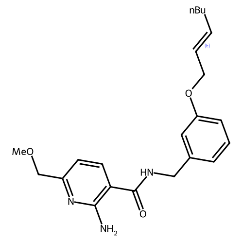 CCCC/C=C/COc1cccc(CNC(=O)c2ccc(COC)nc2N)c1